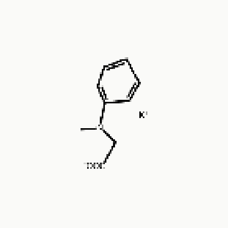 CN(CC(=O)[O-])c1ccccc1.[K+]